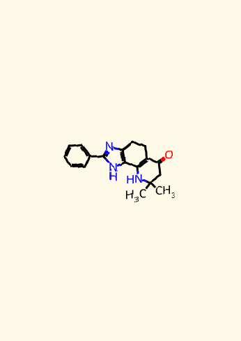 CC1(C)CC(=O)C2=C(N1)c1[nH]c(-c3ccccc3)nc1CC2